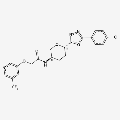 O=C(COc1cncc(C(F)(F)F)c1)N[C@@H]1CC[C@@H](c2nnc(-c3ccc(Cl)cc3)o2)OC1